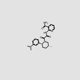 C[C@@H]1CC[C@@H](c2cccc(N(C)C)c2)N(C(=O)C(=O)Nc2ncccc2C(N)=O)C1